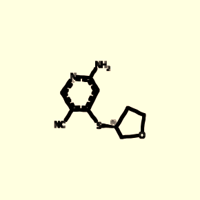 N#Cc1cnc(N)cc1S[C@H]1CCOC1